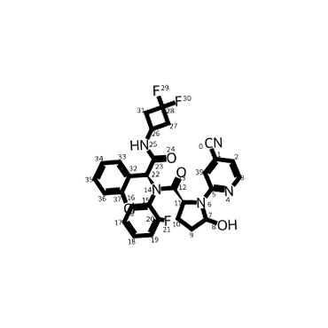 N#Cc1ccnc(N2C(O)CC[C@H]2C(=O)N(c2ccccc2F)[C@H](C(=O)NC2CC(F)(F)C2)c2ccccc2Cl)c1